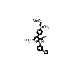 COCCN(C)c1ccc(-c2cc(C(=O)O)nc3c2c(C(C)C)nn3-c2cccc(N3CCC3)c2)cn1